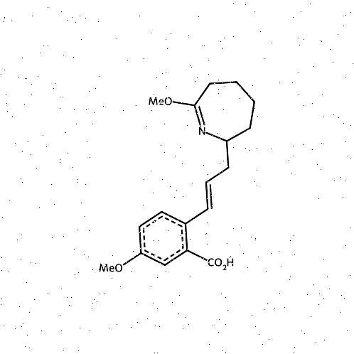 COC1=NC(CC=Cc2ccc(OC)cc2C(=O)O)CCCC1